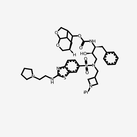 CC(C)N1CC(CN(C[C@@H](O)[C@H](Cc2ccccc2)NC(=O)OC2C3COC4OC[C@H]2CC43)S(=O)(=O)c2ccc3nc(NCCN4CCCC4)sc3c2)C1